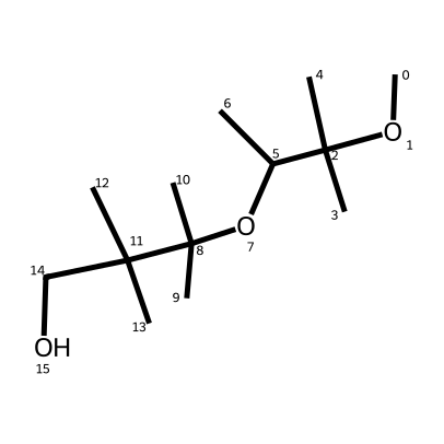 COC(C)(C)C(C)OC(C)(C)C(C)(C)CO